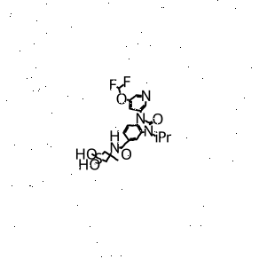 CC(C)n1c(=O)n(-c2cncc(OC(F)F)c2)c2ccc(C(=O)NC3(C)CS(O)(O)C3)cc21